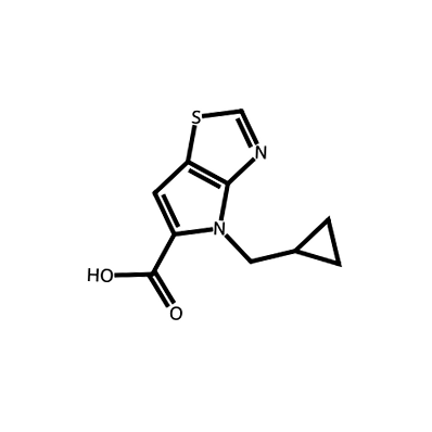 O=C(O)c1cc2scnc2n1CC1CC1